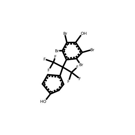 Oc1ccc(C(c2c(Br)c(Br)c(O)c(Br)c2Br)(C(F)(F)F)C(F)(F)F)cc1